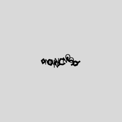 Cc1ccc(C)c(OCC(=O)N2CCc3cnc(N4CCN(C5CCC5)CC4)nc3CC2)c1